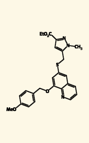 CCOC(=O)c1cc(CSc2cc(OCc3ccc(OC)cc3)c3ncccc3c2)n(C)n1